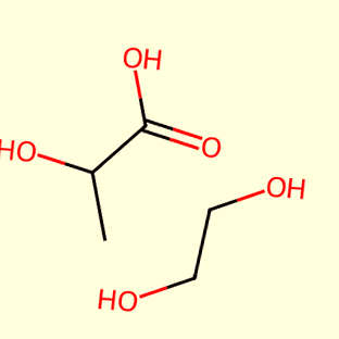 CC(O)C(=O)O.OCCO